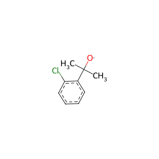 CC(C)([O])c1ccccc1Cl